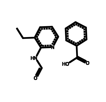 CCc1cccnc1NC=O.O=C(O)c1ccccc1